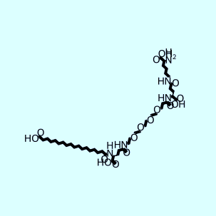 N[C@@H](CCCCNC(=O)CC[C@H](NC(=O)CCOCCOCCOCCOCCNC(=O)CC[C@H](NC(=O)CCCCCCCCCCCCCCCCC(=O)O)C(=O)O)C(=O)O)C(=O)O